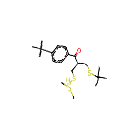 C[SH](C)SCC(CSC(C)(C)C)C(=O)c1ccc(C(C)(C)C)cc1